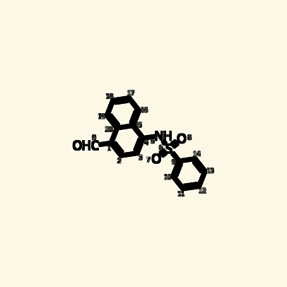 O=Cc1ccc(NS(=O)(=O)c2ccccc2)c2ccccc12